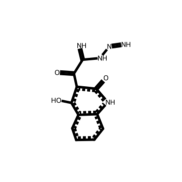 N=NNC(=N)C(=O)c1c(O)c2ccccc2[nH]c1=O